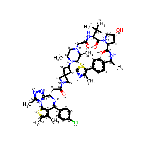 Cc1ncsc1-c1ccc(C(C)NC(=O)[C@@H]2C[C@@H](O)CN2C(=O)[C@@H](NC(=O)CN2C[C@@H](C)N(C3CC4(C3)CN(C(=O)C[C@@H]3N=C(c5ccc(Cl)cc5)c5c(sc(C)c5C)-n5c(C)nnc53)C4)C[C@@H]2C)C(C)(C)C)cc1